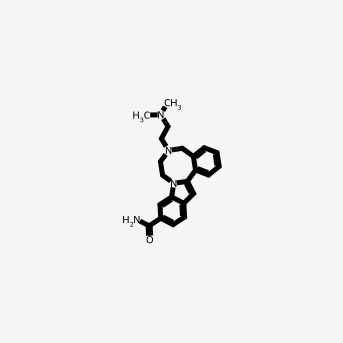 CN(C)CCN1CCn2c(cc3ccc(C(N)=O)cc32)-c2ccccc2C1